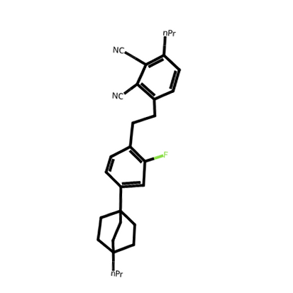 CCCc1ccc(CCc2ccc(C34CCC(CCC)(CC3)CC4)cc2F)c(C#N)c1C#N